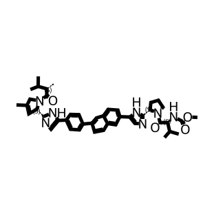 COC(=O)N[C@H](C(=O)N1CCC[C@H]1c1ncc(-c2ccc3cc(-c4ccc(-c5cnc([C@@H]6C=C(C)CN6C(=O)[C@@H](C)C(C)C)[nH]5)cc4)ccc3c2)[nH]1)C(C)C